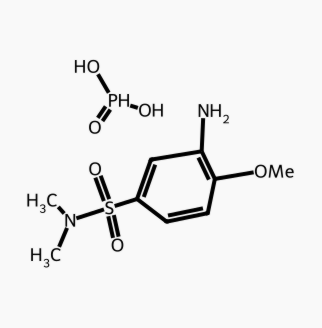 COc1ccc(S(=O)(=O)N(C)C)cc1N.O=[PH](O)O